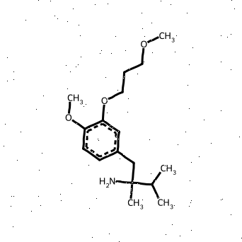 COCCCOc1cc(CC(C)(N)C(C)C)ccc1OC